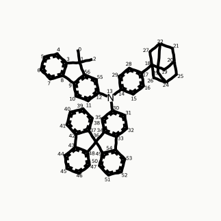 CC1(C)c2ccccc2-c2ccc(N(c3ccc(C45CC6CC(CC(C6)C4)C5)cc3)c3ccc4c(c3)C3(c5ccccc5-c5ccccc53)c3ccccc3-4)cc21